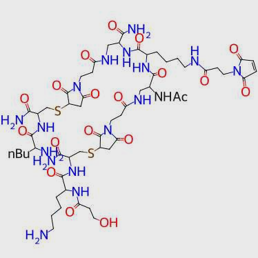 CCCCC(N)C(=O)NC(CSC1CC(=O)N(CCC(=O)NCC(NC(=O)C(CCCCNC(=O)CCN2C(=O)C=CC2=O)NC(=O)C(CNC(=O)CCN2C(=O)CC(SCC(NC(=O)C(CCCCN)NC(=O)CCO)C(N)=O)C2=O)NC(C)=O)C(N)=O)C1=O)C(N)=O